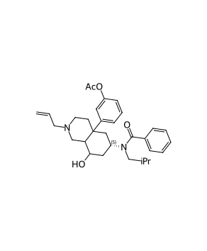 C=CCN1CCC2(c3cccc(OC(C)=O)c3)C[C@H](N(CC(C)C)C(=O)c3ccccc3)CC(O)C2C1